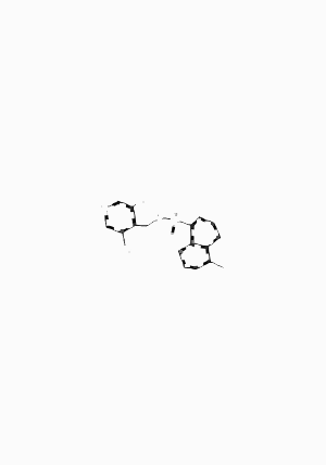 Cc1cccc2c(S(=O)(=O)NCc3c(Br)cncc3Br)cccc12